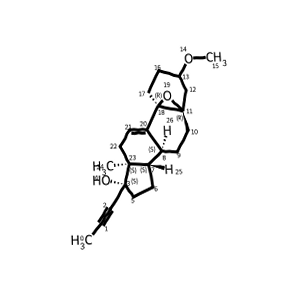 CC#C[C@]1(O)CC[C@H]2[C@@H]3CC[C@@]45CC(OC)CC[C@@]4(O5)C3=CC[C@@]21C